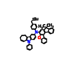 CC(C)(C)Cc1ccc(N(c2ccc3c(c2)c2c(n3-c3ccccc3)C=CCC=C2)c2cc3c(c4c2oc2ccccc24)-c2ccccc2C3(C)C)cc1